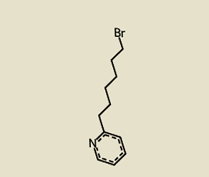 BrCCCCCCc1ccccn1